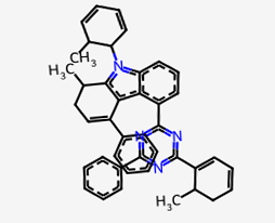 CC1CC=CC=C1c1nc(-c2ccccc2)nc(-c2cccc3c2c2c(n3C3C=CC=CC3C)C(C)CC=C2c2ccccc2)n1